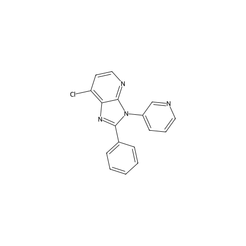 Clc1ccnc2c1nc(-c1ccccc1)n2-c1cccnc1